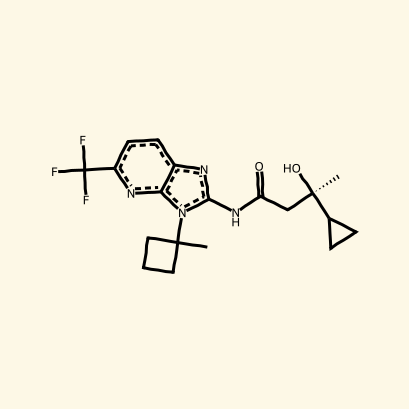 CC1(n2c(NC(=O)C[C@@](C)(O)C3CC3)nc3ccc(C(F)(F)F)nc32)CCC1